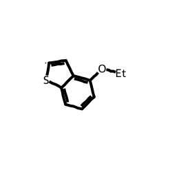 CCOc1cccc2s[c]cc12